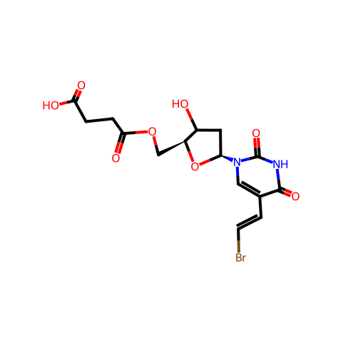 O=C(O)CCC(=O)OC[C@@H]1O[C@H](n2cc(/C=C/Br)c(=O)[nH]c2=O)CC1O